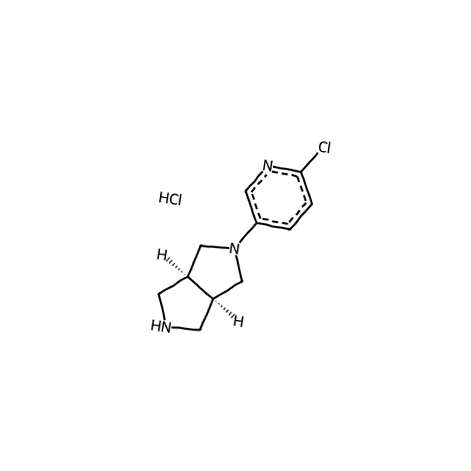 Cl.Clc1ccc(N2C[C@H]3CNC[C@H]3C2)cn1